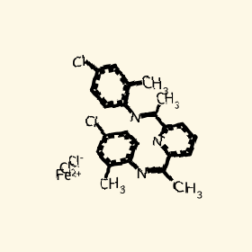 CC(=Nc1ccc(Cl)cc1C)c1cccc(C(C)=Nc2ccc(Cl)cc2C)n1.[Cl-].[Cl-].[Fe+2]